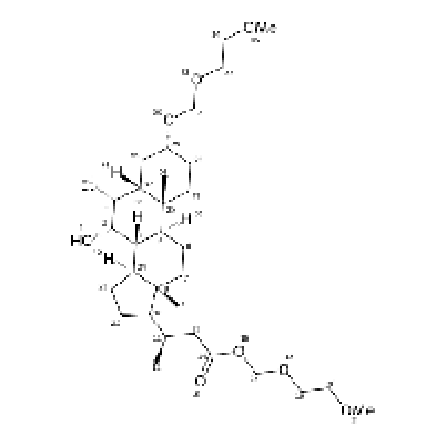 CC[C@H]1[C@@H](O)[C@@H]2[C@H](CC[C@]3(C)[C@@H]([C@H](C)CC(=O)OCOCCOC)CC[C@@H]23)[C@@]2(C)CC[C@@H](OCOCCOC)C[C@@H]12